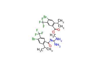 CC(C)c1cc(Br)c(C(F)(F)F)cc1C(=O)N=C(N)N.COC(=O)c1cc(C(F)(F)F)c(Br)cc1C(C)C